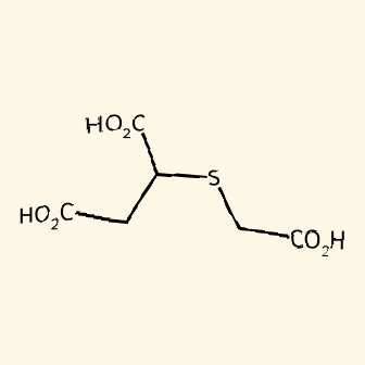 O=C(O)CSC(CC(=O)O)C(=O)O